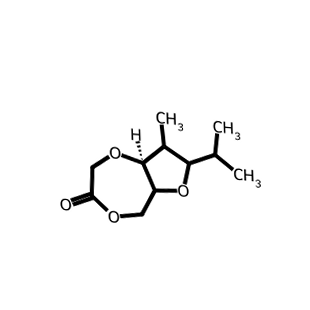 CC(C)C1OC2COC(=O)CO[C@H]2C1C